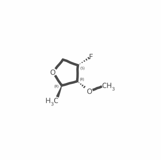 CO[C@H]1[C@@H](F)CO[C@@H]1C